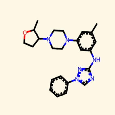 Cc1cc(Nc2ncn(-c3ccccc3)n2)cc(N2CCN(C3CCOC3C)CC2)c1